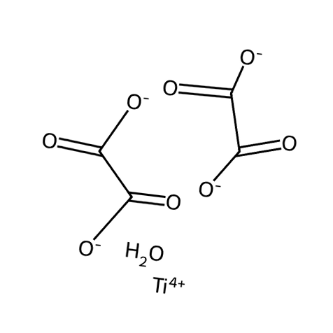 O.O=C([O-])C(=O)[O-].O=C([O-])C(=O)[O-].[Ti+4]